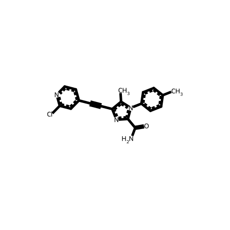 Cc1ccc(-n2c(C(N)=O)nc(C#Cc3ccnc(Cl)c3)c2C)cc1